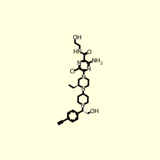 C#Cc1ccc([C@@H](CO)N2CCC(N3CCN(c4nc(N)c(C(=O)NCCO)nc4Cl)C[C@@H]3CC)CC2)cc1